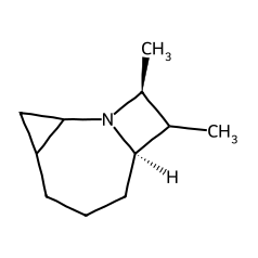 CC1[C@H]2CCCC3CC3N2[C@H]1C